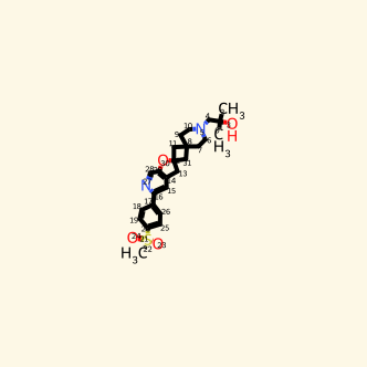 CC(C)(O)CN1CCC2(CC1)CC1(Cc3cc(-c4ccc(S(C)(=O)=O)cc4)ncc3O1)C2